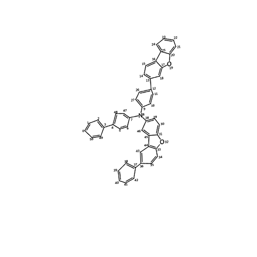 c1ccc(-c2ccc(N(c3ccc(-c4ccc5c(c4)oc4ccccc45)cc3)c3ccc4oc5ccc(-c6ccccc6)cc5c4c3)cc2)cc1